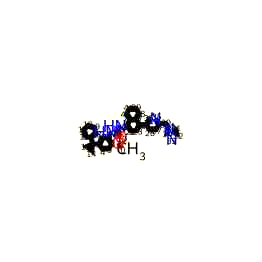 COc1ccc(C2(c3ccccc3)CC2)cc1NC(=O)Nc1ccc(-c2ccc(Cn3ccnc3)nc2)c2ccccc12